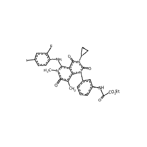 CCOC(=O)C(=O)Nc1cccc(-n2c(=O)n(C3CC3)c(=O)c3c(Nc4ccc(I)cc4F)n(C)c(=O)c(C)c32)c1